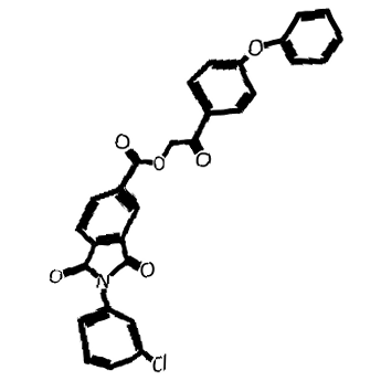 O=C(COC(=O)c1ccc2c(c1)C(=O)N(c1cccc(Cl)c1)C2=O)c1ccc(Oc2ccccc2)cc1